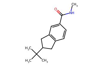 CNC(=O)c1ccc2c(c1)CC(C(C)(C)C)C2